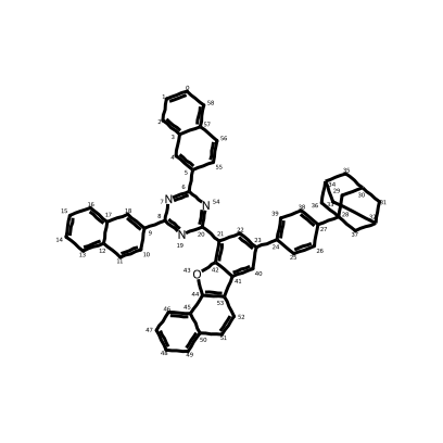 c1ccc2cc(-c3nc(-c4ccc5ccccc5c4)nc(-c4cc(-c5ccc(C67CC8CC(CC(C8)C6)C7)cc5)cc5c4oc4c6ccccc6ccc54)n3)ccc2c1